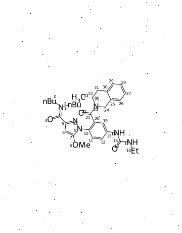 CCCCN(CCCC)C(=O)c1cc(OC)n(-c2ccc(NC(=O)NCC)cc2C(=O)N2Cc3ccccc3C[C@H]2C)n1